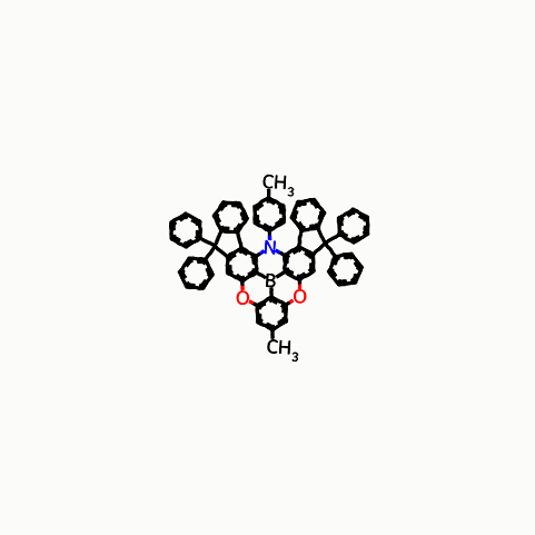 Cc1ccc(N2c3c4c(cc5c3-c3ccccc3C5(c3ccccc3)c3ccccc3)Oc3cc(C)cc5c3B4c3c(cc4c(c32)-c2ccccc2C4(c2ccccc2)c2ccccc2)O5)cc1